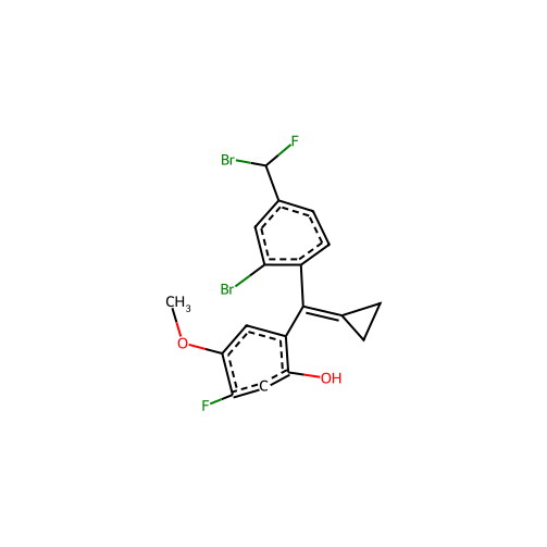 COc1cc(C(=C2CC2)c2ccc(C(F)Br)cc2Br)c(O)cc1F